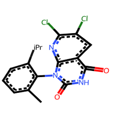 Cc1cccc(C(C)C)c1-n1c(=O)[nH]c(=O)c2cc(Cl)c(Cl)nc21